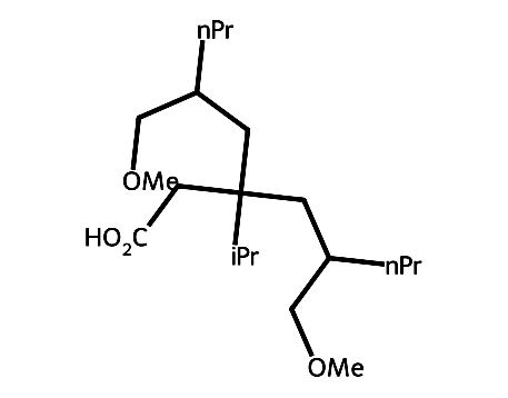 CCCC(COC)CC(CC(=O)O)(CC(CCC)COC)C(C)C